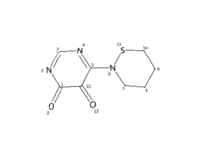 O=C1N=[C]N=C(N2CCCCS2)C1=O